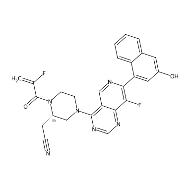 C=C(F)C(=O)N1CCN(c2ncnc3c(F)c(-c4cc(O)cc5ccccc45)ncc23)C[C@@H]1CC#N